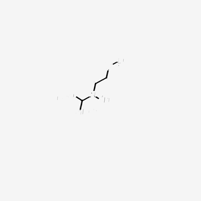 CCCCCCCCC(CCCCCCC)N(CCC)CCOCC